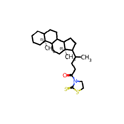 CC(CCC(=O)N1CCSC1=S)C1CCC2C3CCC4CCCC[C@]4(C)C3CC[C@]12C